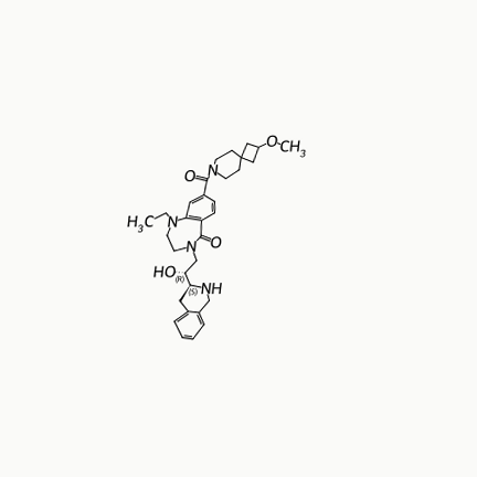 CCN1CCN(C[C@@H](O)[C@@H]2Cc3ccccc3CN2)C(=O)c2ccc(C(=O)N3CCC4(CC3)CC(OC)C4)cc21